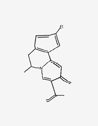 C=C(C)C1=CN2C(=CC1=C)c1cc(CC)ccc1CC2C